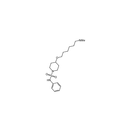 CNCCCCCCOC1CCN(S(=O)(=O)Nc2ccccc2)CC1